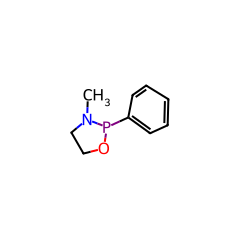 CN1CCOP1c1ccccc1